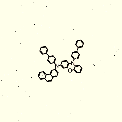 c1ccc(-c2ccc(N(c3ccc4c(c3)Oc3ccccc3N4c3ccc(-c4ccccc4)cc3)c3ccc4ccc5ccccc5c4c3)cc2)cc1